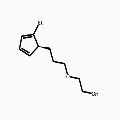 CCC1=CC=C[C@@H]1CCCOCCO